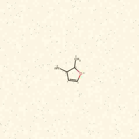 CCCC1C=COC1C